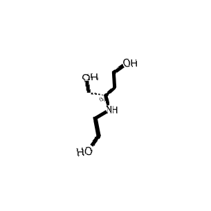 OCCN[C@H](CO)CCO